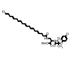 CCC=CCC=CCC=CCC=CCC=CCC=CCCC(=O)NCC(NC(=O)C(C)(C)Oc1ccc(Cl)cc1)C(=O)OC